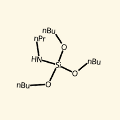 CCCCO[Si](NCCC)(OCCCC)OCCCC